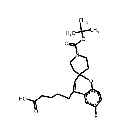 CC(C)(C)OC(=O)N1CCC2(C=C(CCCCC(=O)O)c3cc(F)ccc3O2)CC1